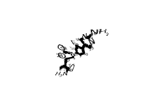 CC(C(N)=O)C1CN(c2ccc(-c3cnc(N)nc3)c(F)c2)C(=O)O1